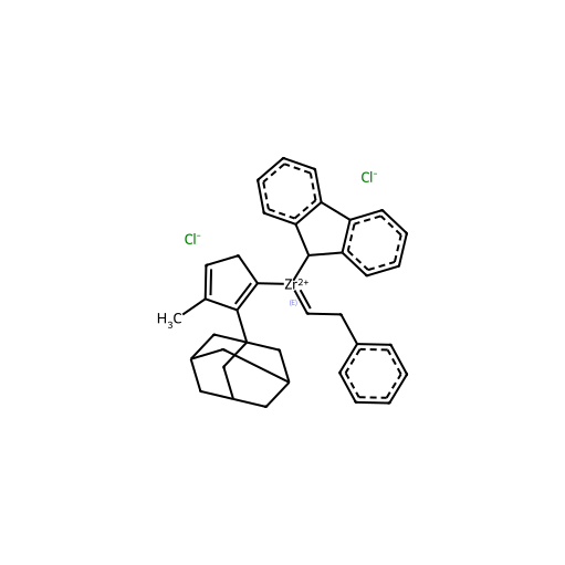 CC1=CC[C](/[Zr+2](=[CH]/Cc2ccccc2)[CH]2c3ccccc3-c3ccccc32)=C1C12CC3CC(CC(C3)C1)C2.[Cl-].[Cl-]